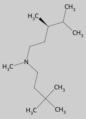 CC(C)[C@H](C)CCN(C)CCC(C)(C)C